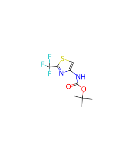 CC(C)(C)OC(=O)Nc1csc(C(F)(F)F)n1